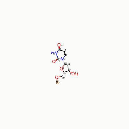 O=c1ccn([C@@H]2CC(O)[C@H](COBr)O2)c(=O)[nH]1